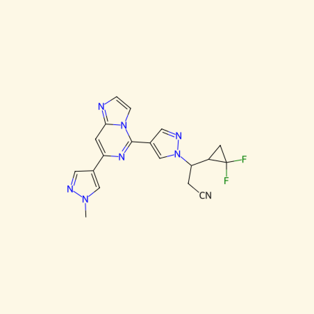 Cn1cc(-c2cc3nccn3c(-c3cnn(C(CC#N)C4CC4(F)F)c3)n2)cn1